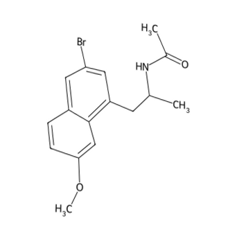 COc1ccc2cc(Br)cc(CC(C)NC(C)=O)c2c1